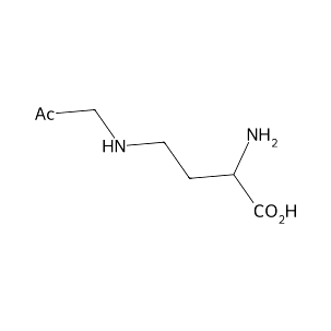 CC(=O)CNCCC(N)C(=O)O